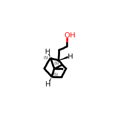 CC1(C)[C@H]2CC[C@@H](CCO)[C@@H]1C2